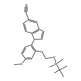 COc1ccc(-n2ccc3cc(C#N)ccc32)c(CCO[Si](C)(C)C(C)(C)C)c1